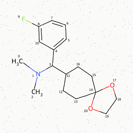 CN(C)C(c1cccc(F)c1)C1CCC2(CC1)OCCO2